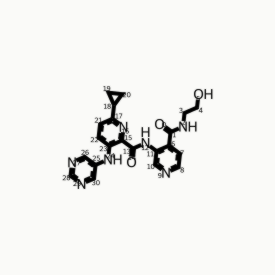 O=C(NCCO)c1ccncc1NC(=O)c1nc(C2CC2)ccc1Nc1cncnc1